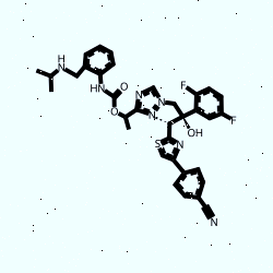 CC(C)NCc1ccccc1NC(=O)OC(C)c1ncn(C[C@](O)(c2cc(F)ccc2F)[C@@H](C)c2nc(-c3ccc(C#N)cc3)cs2)n1